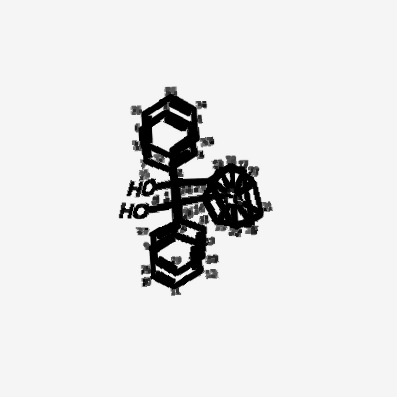 OC(c1ccccc1)(c1ccccc1)[C]12[CH]3[CH]4[CH]5[CH]1[Fe]45321678[CH]2[CH]1[CH]6[C]7(C(O)(c1ccccc1)c1ccccc1)[CH]28